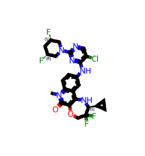 Cn1c(=O)c2c(c3cc(Nc4nc(N5C[C@H](F)C[C@H](F)C5)ncc4Cl)ccc31)N[C@@H](C1CC1)C(F)(F)CO2